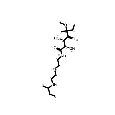 CCC(C)NCCNCCNC(=O)[C@H](O)[C@@H](O)C(=O)C(C)(CC)OC